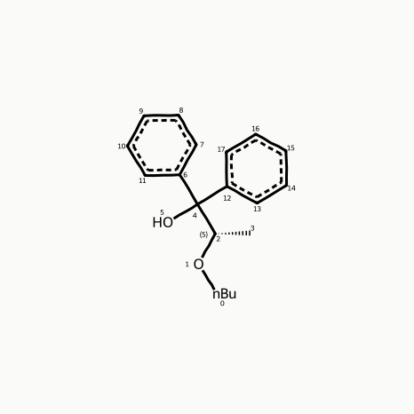 CCCCO[C@@H](C)C(O)(c1ccccc1)c1ccccc1